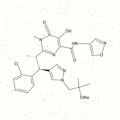 COC(C)(C)Cn1cc([C@@H](c2ccccc2Cl)[C@H](C)c2nc(C(=O)Nc3cnoc3)c(O)c(=O)n2C)cn1